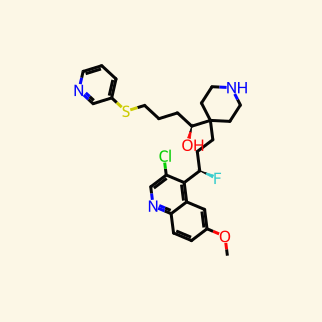 COc1ccc2ncc(Cl)c([C@H](F)CCC3([C@@H](O)CCCSc4cccnc4)CCNCC3)c2c1